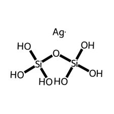 O[Si](O)(O)O[Si](O)(O)O.[Ag]